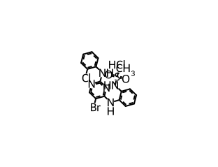 CS(=O)(=O)Nc1ccccc1Nc1nc(Nc2ccccc2Cl)ncc1Br.Cl